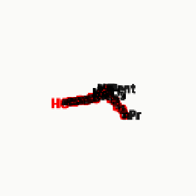 CCCOCCOCCOCCOCCOCCO[C@H]1C[C@H]2[C@@H](CC[C@@H]3C[C@H](OCCOCCOCCOCCOCCOCCO)CC[C@@]32C)[C@@H]2CC[C@H]([C@H](C)CCC)[C@@]12C